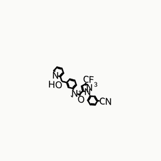 C=[N+](C(=O)c1cc(C(F)(F)F)nn1-c1cccc(C#N)c1)c1cccc(C(O)c2ccccn2)c1